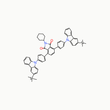 C[Si](C)(C)c1ccc2c(c1)c1ccccc1n2-c1ccc(-c2ccc(-c3ccc(-n4c5ccccc5c5cc([Si](C)(C)C)ccc54)cc3)c3c2C(=O)N(C2CCCCC2)C3=O)cc1